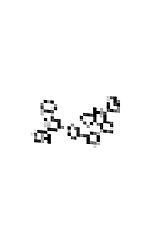 c1ccc(-c2cc(-c3ccc(-c4cccc(-c5cccc6c(-c7cccnc7)nc7ccccc7c56)c4)cc3)cc(-c3ccccn3)n2)nc1